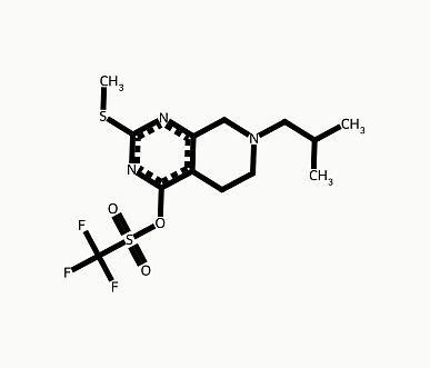 CSc1nc2c(c(OS(=O)(=O)C(F)(F)F)n1)CCN(C[C](C)C)C2